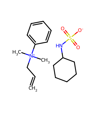 C=CC[N+](C)(C)c1ccccc1.O=S(=O)([O-])NC1CCCCC1